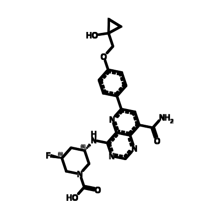 NC(=O)c1cc(-c2ccc(OCC3(O)CC3)cc2)nc2c(N[C@H]3C[C@H](F)CN(C(=O)O)C3)ncnc12